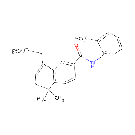 CCOC(=O)CC1=CCC(C)(C)c2ccc(C(=O)Nc3ccccc3C(=O)O)cc21